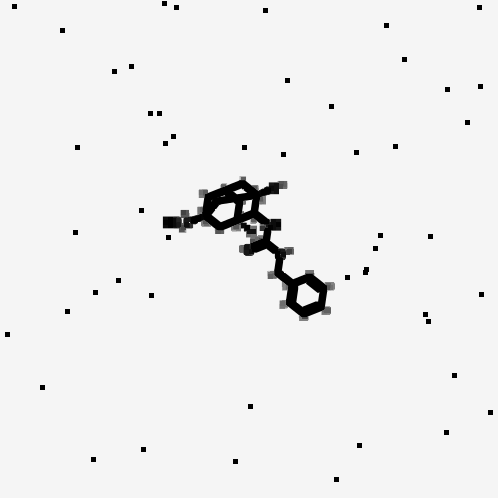 O=C(NC1[C@@H]2CC3C[C@H]1C[C@@](C(=O)O)(C3)C2)OCc1ccccc1